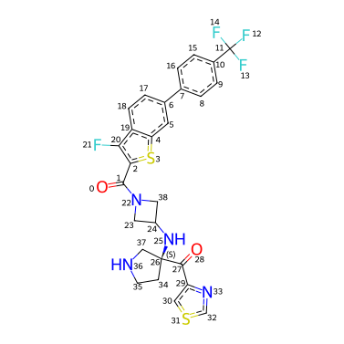 O=C(c1sc2cc(-c3ccc(C(F)(F)F)cc3)ccc2c1F)N1CC(N[C@@]2(C(=O)c3cscn3)CCNC2)C1